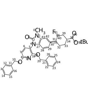 Cn1c(=O)n(-c2ccc(OCc3ccccc3)nc2OCc2ccccc2)c2ccc([C@@H]3CCC(C(=O)OC(C)(C)C)C[C@H]3F)cc21